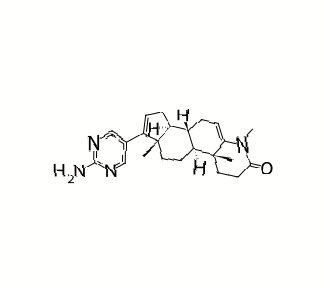 CN1C(=O)CC[C@@]2(C)C1=CC[C@@H]1[C@@H]2CC[C@]2(C)C(c3cnc(N)nc3)=CC[C@@H]12